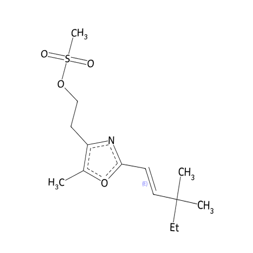 CCC(C)(C)/C=C/c1nc(CCOS(C)(=O)=O)c(C)o1